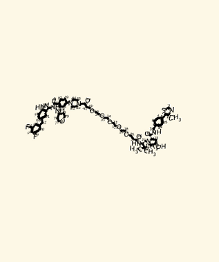 Cc1ncsc1-c1ccc(CNC(=O)[C@@H]2C[C@@H](O)CN2C[C@@H](NC(=O)CCOCCOCCOCCOCCOCCC(=O)N2CCN(c3ccc(C(=O)Nc4n[nH]c5ccc(Cc6cc(F)cc(F)c6)cc45)c(NC4CCOCC4)c3)CC2)C(C)(C)C)cc1